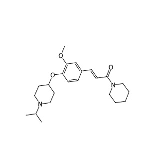 COc1cc(C=CC(=O)N2CCCCC2)ccc1OC1CCN(C(C)C)CC1